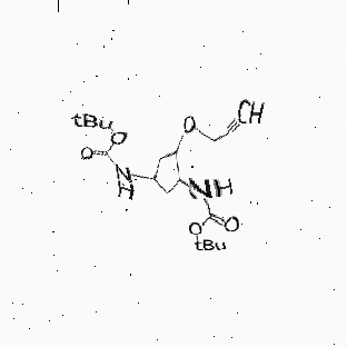 C#CCOC1CC(NC(=O)OC(C)(C)C)CC1NC(=O)OC(C)(C)C